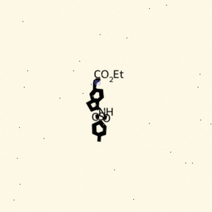 CCOC(=O)/C=C/c1ccc2c(c1)CCC2NS(=O)(=O)c1ccc(C)cc1